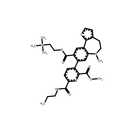 CCCNC(=O)c1ccc(-c2cc3c(cc2C(=O)OCC[Si](C)(C)C)-c2sccc2CCN3C)c(C(=O)OC)n1